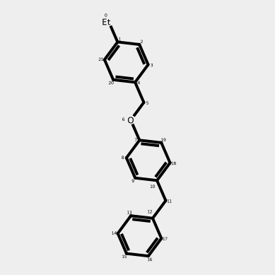 CCc1ccc(COc2ccc(Cc3ccccc3)cc2)cc1